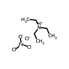 CC[NH+](CC)CC.[Cl-].[Cl][Fe]([Cl])[Cl]